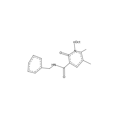 CCCCCCCCn1c(C)c(C)cc(C(=O)NCc2ccccc2)c1=O